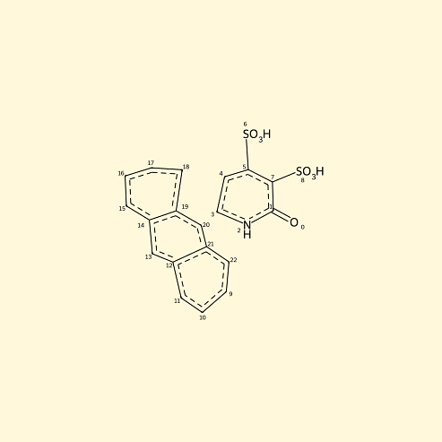 O=c1[nH]ccc(S(=O)(=O)O)c1S(=O)(=O)O.c1ccc2cc3ccccc3cc2c1